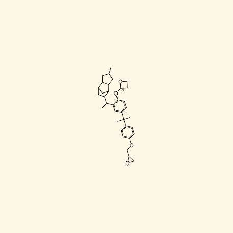 CC1CC2C3CC(C(C)c4cc(C(C)(C)c5ccc(OCC6CO6)cc5)ccc4O[C@@H]4CCO4)C(C3)C2C1